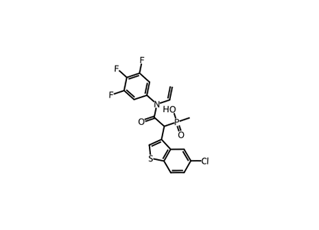 C=CN(C(=O)C(c1csc2ccc(Cl)cc12)P(C)(=O)O)c1cc(F)c(F)c(F)c1